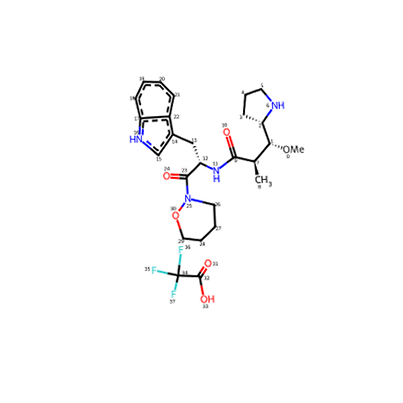 CO[C@@H]([C@@H]1CCCN1)[C@@H](C)C(=O)N[C@@H](Cc1c[nH]c2ccccc12)C(=O)N1CCCCO1.O=C(O)C(F)(F)F